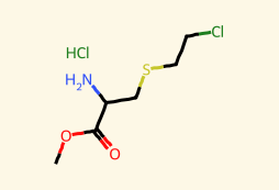 COC(=O)C(N)CSCCCl.Cl